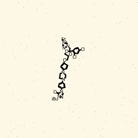 CCC(C)n1ncn(-c2ccc(N3CCN(c4ccc(OCC5COC(Cn6c[n+](CC)cn6)(c6ccc(Cl)cc6Cl)O5)cc4)CC3)cc2)c1=O